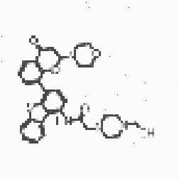 CCN1CCN(CC(=O)Nc2ccc(-c3cccc4c3OC(N3CCOCC3)CC4=O)c3sc4ccccc4c23)CC1